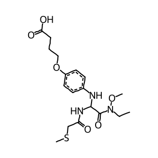 CCN(OC)C(=O)C(NC(=O)CSC)Nc1ccc(OCCCC(=O)O)cc1